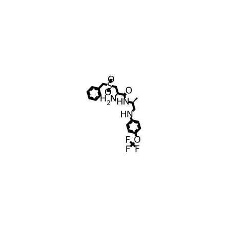 C[C@@H](CNc1ccc(OC(F)(F)F)cc1)NC(=O)[C@@H](N)CS(=O)(=O)Cc1ccccc1